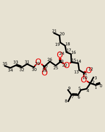 C=CC(C)(CCC=C(C)C)OC(=O)CCC(CCCCCC)OC(=O)CCC(=O)OCCC=CCC